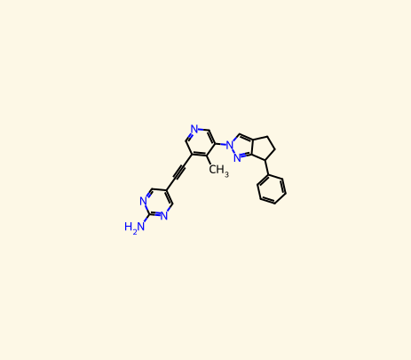 Cc1c(C#Cc2cnc(N)nc2)cncc1-n1cc2c(n1)C(c1ccccc1)CC2